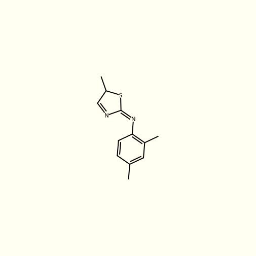 Cc1ccc(N=C2N=CC(C)S2)c(C)c1